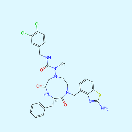 CC(C)N(C(=O)NCc1ccc(Cl)c(Cl)c1)N1CCN(Cc2cccc3sc(N)nc23)C(=O)[C@H](Cc2ccccc2)NC(=O)C1